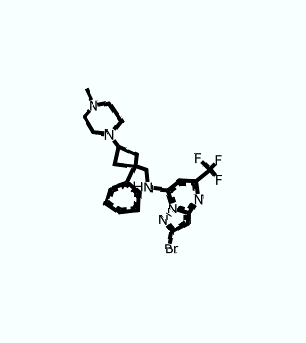 CN1CCN(C2CC(CNc3cc(C(F)(F)F)nc4cc(Br)nn34)(c3ccccc3)C2)CC1